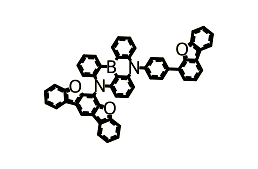 c1ccc2c(c1)B1c3ccccc3N(c3c4oc5ccccc5c4cc4c3oc3ccccc34)c3cccc(c31)N2c1ccc(-c2cccc3c2oc2ccccc23)cc1